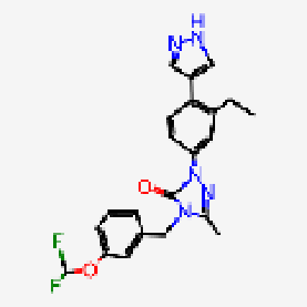 CCc1cc(-n2nc(C)n(Cc3cccc(OC(F)F)c3)c2=O)ccc1-c1cn[nH]c1